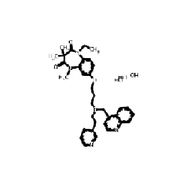 CCN1C(=O)C(C)(C)C(=O)N(C)c2cc(OCCCN(CCc3cccnc3)Cc3ccnc4ccccc34)ccc21.Cl.Cl.Cl